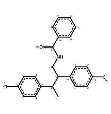 CC(c1ccc(Cl)cc1)C(CNC(=O)c1ccccc1)c1ccc(Cl)cc1